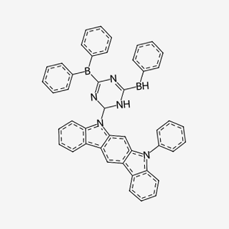 B(C1=NC(B(c2ccccc2)c2ccccc2)=NC(n2c3ccccc3c3cc4c5ccccc5n(-c5ccccc5)c4cc32)N1)c1ccccc1